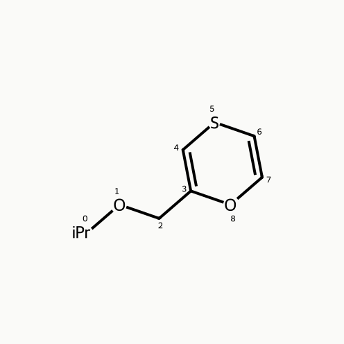 CC(C)OCC1=CSC=CO1